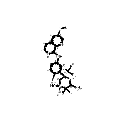 COc1cnc2c(Nc3ccc(F)c([C@]4(C(F)(F)F)CS(O)(O)C(C)(C)C(N)=N4)c3)nccc2c1